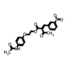 CC(=O)Nc1ccc(OCCOC(=O)C(=Cc2cccc([N+](=O)[O-])c2)C(C)=O)cc1